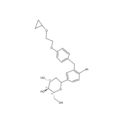 CC(C)c1ccc(C2C[C@@H](O)[C@H](O)[C@@H](CO)O2)cc1Cc1ccc(OCCOC2CC2)cc1